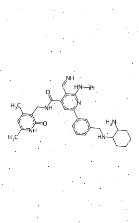 Cc1cc(C)c(CNC(=O)c2cc(-c3cccc(CNC4CCCCC4N)c3)nc(NC(C)C)c2C=N)c(=O)[nH]1